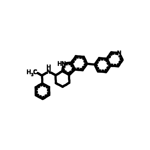 CC(NC1CCCc2c1[nH]c1ccc(-c3ccc4ccncc4c3)cc21)c1ccccc1